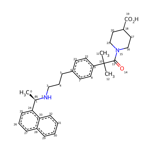 C[C@@H](NCCCc1ccc(C(C)(C)C(=O)N2CCC(C(=O)O)CC2)cc1)c1cccc2ccccc12